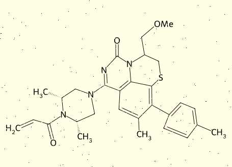 C=CC(=O)N1[C@H](C)CN(c2nc(=O)n3c4c(c(-c5ccc(C)cc5)c(C)cc24)SCC3COC)C[C@@H]1C